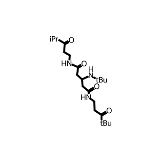 CC(C)C(=O)CCNC(=O)CC(CC(=O)NCCC(=O)C(C)(C)C)NC(C)(C)C